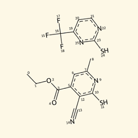 CCOC(=O)c1cc(C)nc(S)c1C#N.FC(F)(F)c1ccnc(S)n1